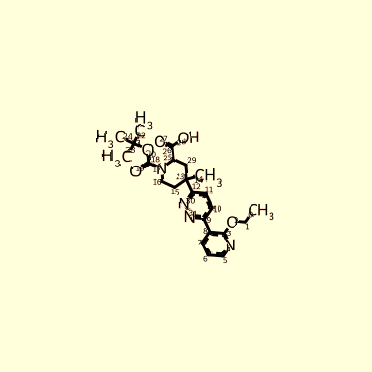 CCOc1ncccc1-c1ccc(C2(C)CCN(C(=O)OC(C)(C)C)C(C(=O)O)C2)nn1